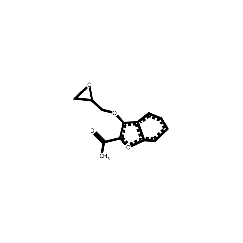 CC(=O)c1oc2ccccc2c1OCC1CO1